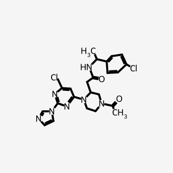 CC(=O)N1CCN(c2cc(Cl)nc(-n3ccnc3)n2)C(CC(=O)NC(C)c2ccc(Cl)cc2)C1